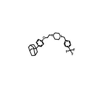 FC(F)(F)c1ccc(CN2CCN(CCOc3ccc(C45CC6CC(CC(C6)C4)C5)cc3)CC2)cc1